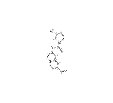 COc1ccc2ccc(OC(=O)c3cccc(C(C)=O)c3)cc2c1